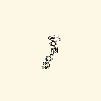 C[S+]([O-])c1ccc(-c2noc(CCC3CCN(C(=O)OC(C)(C)C)CC3)n2)cc1